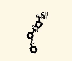 O=C(NO)c1ccc2nc(-c3cccc(OCc4ccccc4)c3)sc2c1